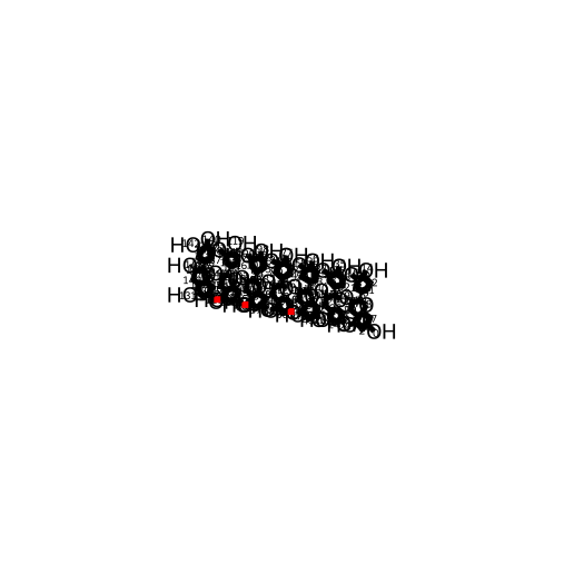 Oc1cc(O)c2c(c1)O[C@H](c1ccc(O)c(O)c1)[C@H](O)[C@H]2c1c(O)cc(O)c2c1O[C@H](c1ccc(O)c(O)c1)[C@H](O)[C@H]2c1c(O)cc(O)c2c1O[C@H](c1ccc(O)c(O)c1)[C@H](O)[C@H]2c1c(O)cc(O)c2c1O[C@H](c1ccc(O)c(O)c1)[C@H](O)[C@H]2c1c(O)cc(O)c2c1O[C@H](c1ccc(O)c(O)c1)[C@H](O)[C@H]2c1c(O)cc(O)c2c1O[C@H](c1ccc(O)c(O)c1)[C@H](O)[C@H]2c1c(O)cc(O)c2c1O[C@H](c1ccc(O)c(O)c1)[C@H](O)C2